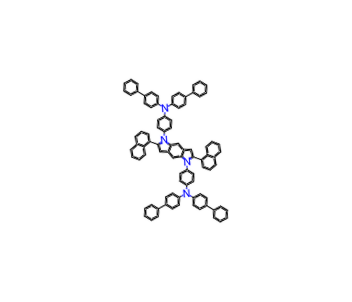 c1ccc(-c2ccc(N(c3ccc(-c4ccccc4)cc3)c3ccc(-n4c(-c5cccc6ccccc56)cc5cc6c(cc(-c7cccc8ccccc78)n6-c6ccc(N(c7ccc(-c8ccccc8)cc7)c7ccc(-c8ccccc8)cc7)cc6)cc54)cc3)cc2)cc1